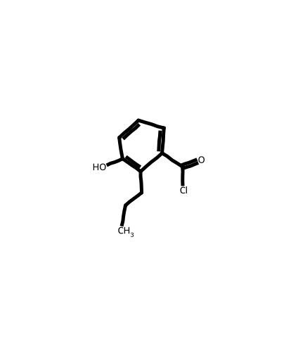 CCCc1c(O)cccc1C(=O)Cl